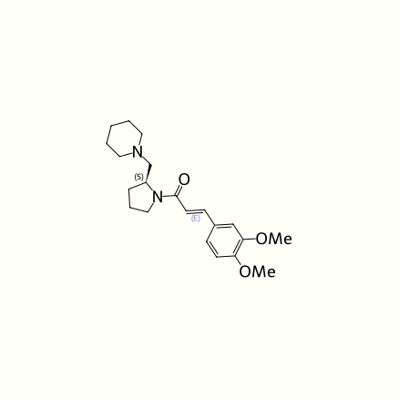 COc1ccc(/C=C/C(=O)N2CCC[C@H]2CN2CCCCC2)cc1OC